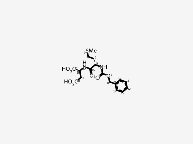 CSCC[C@H](NC(=O)OCc1ccccc1)C(=O)N[C@@H](CC(=O)O)C(=O)O